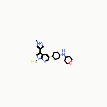 Cn1cc(-c2cn(S)c3ncc([C@H]4CC[C@@H](NC5CCOCC5)CC4)cc23)cn1